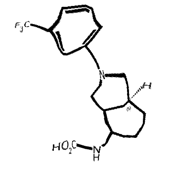 O=C(O)NC1CC[C@@H]2CN(c3cccc(C(F)(F)F)c3)CC12